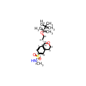 CNS(=O)(=O)c1ccc2c(c1)CCO[C@H]2CCO[Si](C)(C)C(C)(C)C